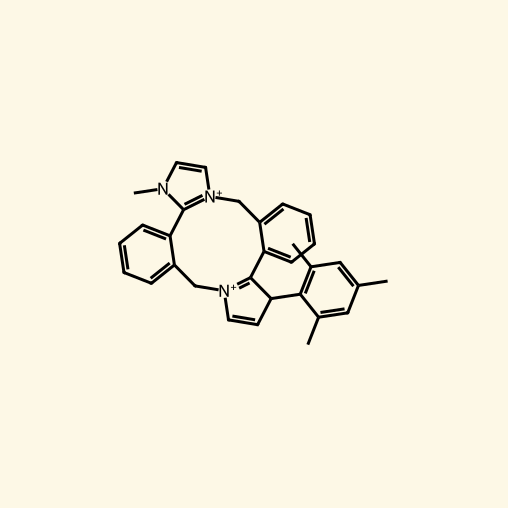 Cc1cc(C)c(C2C=C[N+]3=C2c2ccccc2C[n+]2ccn(C)c2-c2ccccc2C3)c(C)c1